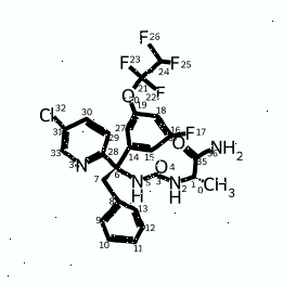 C[C@H](NC(=O)N[C@@](Cc1ccccc1)(c1cc(F)cc(OC(F)(F)C(F)F)c1)c1ccc(Cl)cn1)C(N)=O